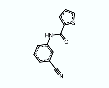 N#Cc1cccc(NC(=O)c2cccs2)c1